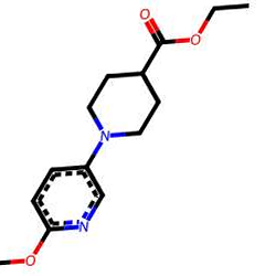 CCOC(=O)C1CCN(c2ccc(OC)nc2)CC1